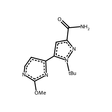 COc1nccc(-c2cc(C(N)=O)nn2C(C)(C)C)n1